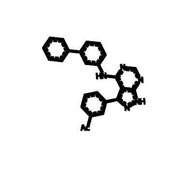 CC(=O)c1cccc(-c2n[nH]c3ncnc(Nc4cccc(-c5ccccc5)c4)c23)c1